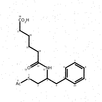 CC(=O)SCC(Cc1ccccc1)NC(=O)CCCCC(=O)O